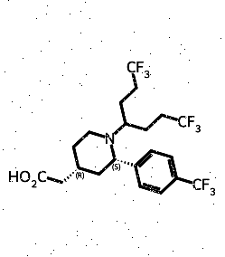 O=C(O)C[C@@H]1CCN(C(CCC(F)(F)F)CCC(F)(F)F)[C@H](c2ccc(C(F)(F)F)cc2)C1